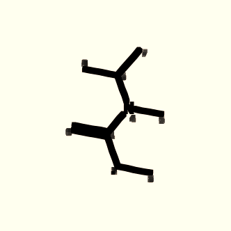 C=C(CC)N(C)C(C)C